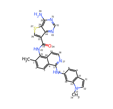 Cc1ccc2c(Nc3ccc4ccn(C)c4c3)nccc2c1NC(=O)c1csc2c(N)ncnc12